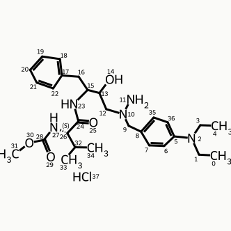 CCN(CC)c1ccc(CN(N)CC(O)C(Cc2ccccc2)NC(=O)[C@@H](NC(=O)OC)C(C)C)cc1.Cl